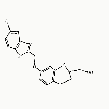 OCC1CCc2ccc(OCc3nc4cc(F)ccc4s3)cc2O1